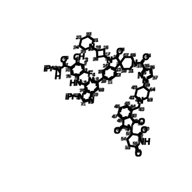 Cc1cc(F)c(Nc2nc(-c3ccc4c(c3)N(C3CC(N5CCCCC5)C3)C(=O)C43CCN(C(=O)c4ccn(C5CCN(Cc6cccc7c6C(=O)N(C6CCC(=O)NC6=O)C7=O)CC5)n4)CC3)cc3ncn(C(C)C)c23)cc1C(=O)NC(C)C